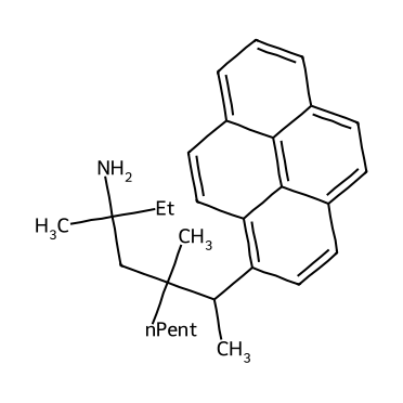 CCCCCC(C)(CC(C)(N)CC)C(C)c1ccc2ccc3cccc4ccc1c2c34